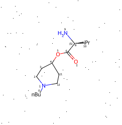 CCCCN1CCC(OC(=O)[C@@H](N)C(C)C)CC1